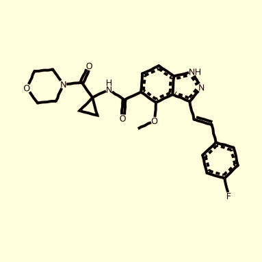 COc1c(C(=O)NC2(C(=O)N3CCOCC3)CC2)ccc2[nH]nc(/C=C/c3ccc(F)cc3)c12